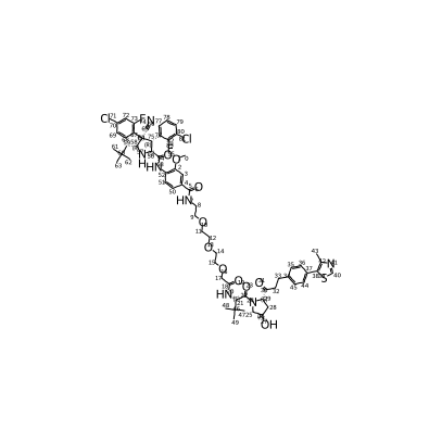 COc1cc(C(=O)NCCOCCOCCOCC(=O)N[C@H](C(=O)N2C[C@H](O)C[C@H]2C(=O)CCc2ccc(-c3scnc3C)cc2)C(C)(C)C)ccc1NC(=O)[C@H]1N[C@H](CC(C)(C)C)[C@@](C#N)(c2ccc(Cl)cc2F)[C@@H]1c1cccc(Cl)c1F